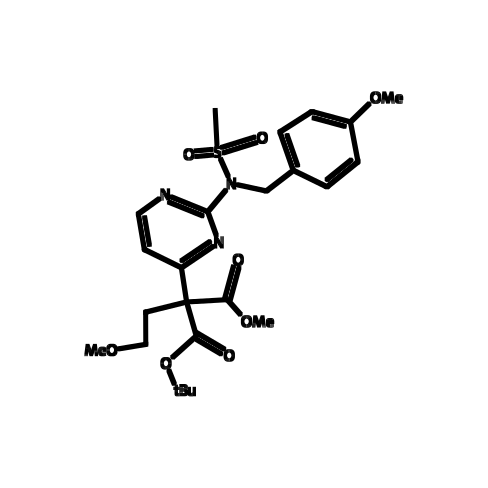 COCCC(C(=O)OC)(C(=O)OC(C)(C)C)c1ccnc(N(Cc2ccc(OC)cc2)S(C)(=O)=O)n1